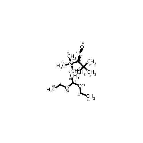 CC(C)(C)C(=C=O)[Si](C)(C)C.CCOC(C)OCC